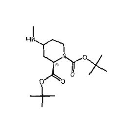 CNC1CCN(C(=O)OC(C)(C)C)[C@@H](C(=O)OC(C)(C)C)C1